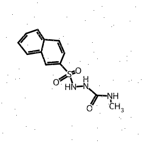 CNC(=O)NNS(=O)(=O)c1ccc2ccccc2c1